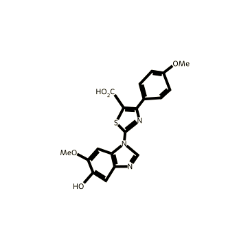 COc1ccc(-c2nc(-n3cnc4cc(O)c(OC)cc43)sc2C(=O)O)cc1